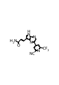 N#Cc1cc(-c2cnc3[nH]cc(C=CC(N)=O)c3n2)cc(C(F)(F)F)n1